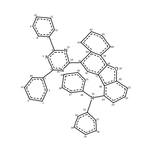 c1ccc(-c2nc(-c3ccccc3)nc(-c3cc4c(oc5cccc(N(c6ccccc6)c6ccccc6)c54)c4ccccc34)n2)cc1